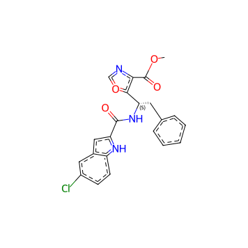 COC(=O)c1ncoc1[C@H](Cc1ccccc1)NC(=O)c1cc2cc(Cl)ccc2[nH]1